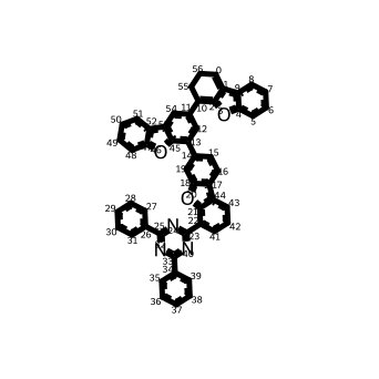 C1=c2c(oc3ccccc23)=C(c2cc(-c3ccc4c(c3)oc3c(-c5nc(-c6ccccc6)nc(-c6ccccc6)n5)cccc34)c3oc4ccccc4c3c2)CC1